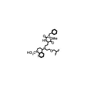 COC(=O)C(CCN(CCOCC(F)F)C1CCN(C(=O)O)c2ncccc21)NC(=O)OCc1ccccc1